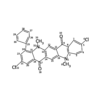 Cn1c2ccc(Cl)cc2c(=O)c2cc3c(cc21)c(=O)c1cc(Cl)cc(-c2ccccc2)c1n3C